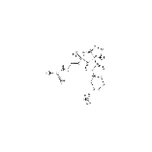 Cl.Cl.N=C(N)NCCC[C@](N)(C=O)C(=O)[C@]1(C(=O)CN2CCCCC2)CCCN1.O